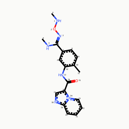 CNO/N=C(\NC)c1ccc(C)c(NC(=O)c2cnc3ccccn23)c1